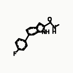 CNC(=O)c1cc2ccc(-c3ccc(F)cc3)cc2[nH]1